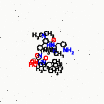 COc1c(CN2O[C@@H](CO)[C@@H]([C@H](C)O)[C@H]2C(=O)N[C@H]2C[C@@H](C)C(C)(C)[C@@H](C)[C@@H]2C)cccc1-c1cc(C(=O)N[C@@H](Cc2cccc(N)c2)CN(C)C)cc(N(C)C)c1